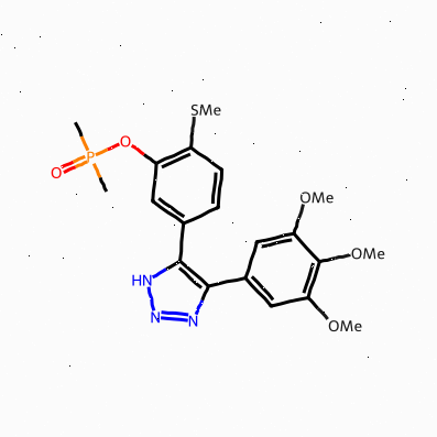 COc1cc(-c2nn[nH]c2-c2ccc(SC)c(OP(C)(C)=O)c2)cc(OC)c1OC